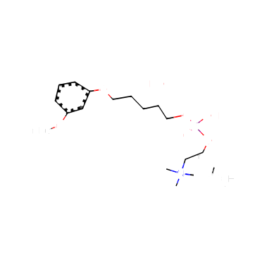 CCCCOc1cccc(OCCCCCOP(=O)(O)O[C@H](CC(=O)O)C[N+](C)(C)C)c1.[OH-]